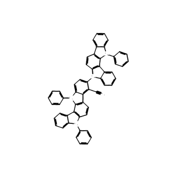 N#Cc1c(-n2c3ccccc3c3c2ccc2c4ccccc4n(-c4ccccc4)c23)ccc2c1c1ccc3c(c4ccccc4n3-c3ccccc3)c1n2-c1ccccc1